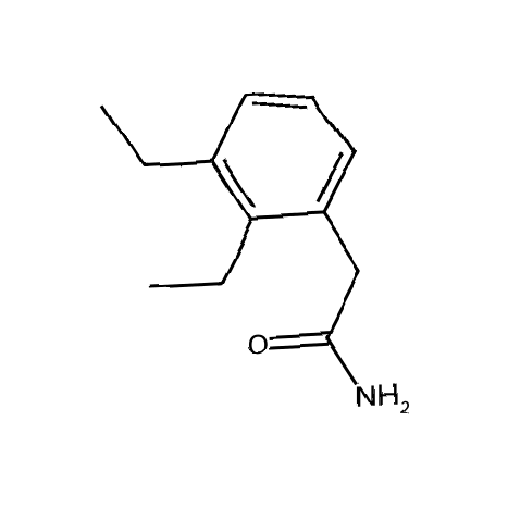 CCc1cccc(CC(N)=O)c1CC